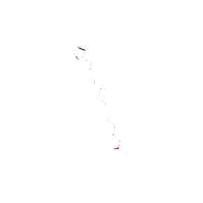 O=C(O)CCCCCCCCCCCCCn1ccnc1